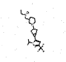 CC[S+]([O-])CC1CCCN(C2CC3C(C2)C3c2cc(C(F)(F)F)nn2C(C)C)C1